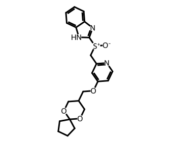 [O-][S+](Cc1cc(OCC2COC3(CCCC3)OC2)ccn1)c1nc2ccccc2[nH]1